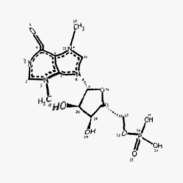 Cn1cnc(=O)c2c1n([C@@H]1O[C@H](COP(=O)(O)O)[C@@H](O)[C@H]1O)c[n+]2C